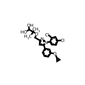 CC(C)(OCc1cc(-c2cccc(OC3CC3)c2)n(-c2ccc(Cl)cc2Cl)n1)C(O)O